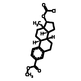 COC(=O)c1ccc2c(c1)CC[C@@H]1[C@@H]2CC[C@]2(C)[C@@H](OC(=O)Cl)CC[C@@H]12